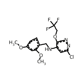 COc1ccc(CNc2cc(Cl)nnc2OCC(F)(F)F)c(OC)c1